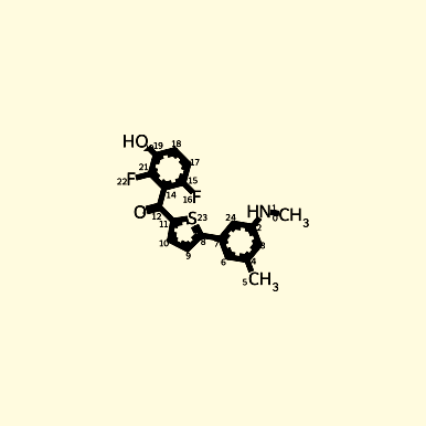 CNc1cc(C)cc(-c2ccc(C(=O)c3c(F)ccc(O)c3F)s2)c1